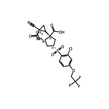 CO[C@H]1C[C@@H](S(=O)(=O)c2ccc(OCC(F)(F)F)cc2Cl)C[C@]1(C(=O)O)C1CC1(C#N)C(N)=O